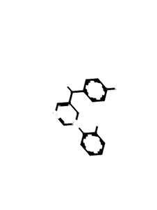 OC(C1=CN=CN(c2ccccc2Cl)C1)c1ccc(Cl)cc1